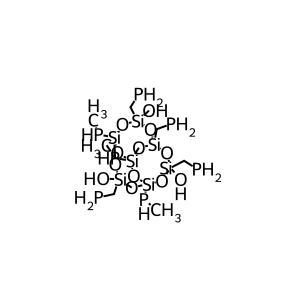 CP[Si]12O[Si](O)(CP)O[Si]3(CP)O[Si](O)(CP)O[Si](PC)(O[Si](O)(CP)O1)O[Si](PC)(O3)O2